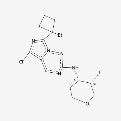 CCC1(c2nc(Cl)c3cnc(N[C@H]4CCOC[C@H]4F)nn23)CCC1